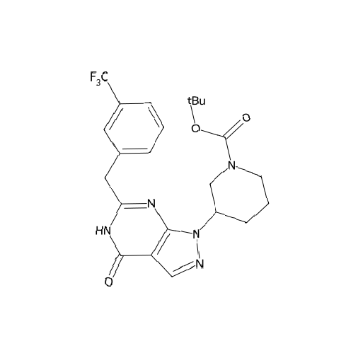 CC(C)(C)OC(=O)N1CCCC(n2ncc3c(=O)[nH]c(Cc4cccc(C(F)(F)F)c4)nc32)C1